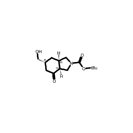 CC(C)(C)OC(=O)N1C[C@@H]2C[C@@H](CO)CC(=O)[C@@H]2C1